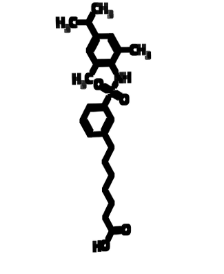 Cc1cc(C(C)C)cc(C)c1NS(=O)(=O)c1cccc(CCCCCCC(=O)O)c1